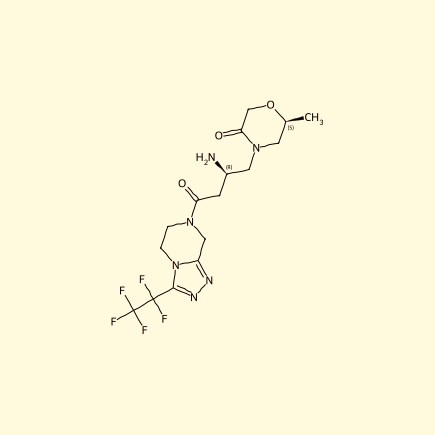 C[C@H]1CN(C[C@H](N)CC(=O)N2CCn3c(nnc3C(F)(F)C(F)(F)F)C2)C(=O)CO1